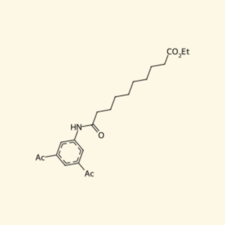 CCOC(=O)CCCCCCCCC(=O)Nc1cc(C(C)=O)cc(C(C)=O)c1